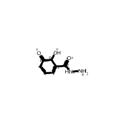 NNC(=O)C1=CC=CC(=O)C1O